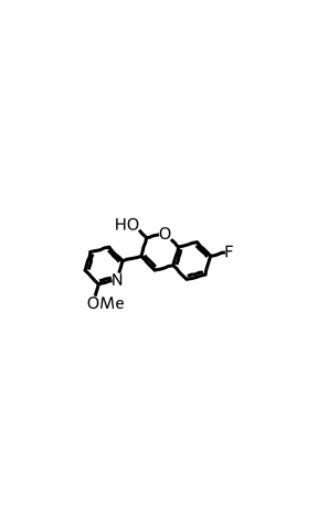 COc1cccc(C2=Cc3ccc(F)cc3OC2O)n1